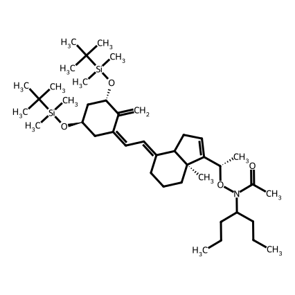 C=C1C(=CC=C2CCC[C@]3(C)C([C@H](C)ON(C(C)=O)C(CCC)CCC)=CCC23)C[C@@H](O[Si](C)(C)C(C)(C)C)C[C@@H]1O[Si](C)(C)C(C)(C)C